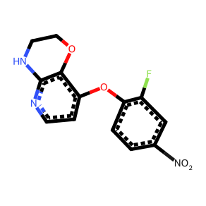 O=[N+]([O-])c1ccc(Oc2ccnc3c2OCCN3)c(F)c1